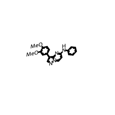 COc1ccc(-c2cnn3ccc(Nc4ccccc4)nc23)cc1OC